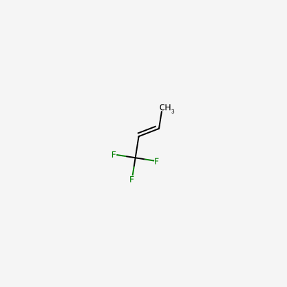 CC=CC(F)(F)F